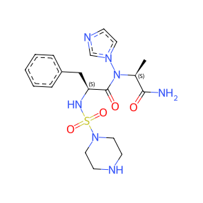 C[C@@H](C(N)=O)N(C(=O)[C@H](Cc1ccccc1)NS(=O)(=O)N1CCNCC1)n1ccnc1